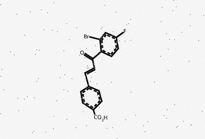 O=C(O)c1ccc(/C=C/C(=O)c2ccc(F)cc2Br)cc1